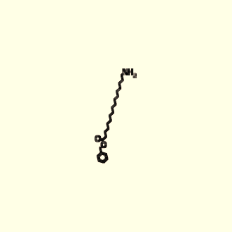 NCCCCCCCCCCCCCCCCC(=O)OCc1ccccc1